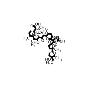 C=C[C@@]1(O[C@]2([C@@H](C)NC(=O)O)CC[C@@](C)([C@H]3CC[C@](O)(CC)[C@H](C)O3)O2)O[C@H]([C@@H](CC)C(=O)[C@@H](C)[C@@H](O)[C@H](C)[C@@H]2O[C@@H]([C@@H](CC)C(=O)O)CC[C@@H]2C)[C@@H](C)C[C@H]1C